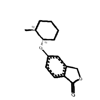 C[C@H]1CCCC[C@@H]1Oc1ccc2c(c1)COC2=O